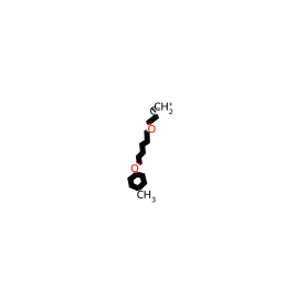 [CH2+][CH-]CCOCCCCCCOC1CCC(C)CC1